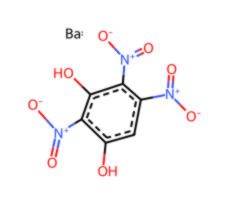 O=[N+]([O-])c1cc(O)c([N+](=O)[O-])c(O)c1[N+](=O)[O-].[Ba]